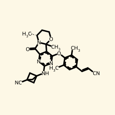 Cc1cc(/C=C/C#N)cc(C)c1Oc1nc(NC23CC(C#N)(C2)C3)nc2c1C1(C)OCC[C@@H](C)N1C2=O